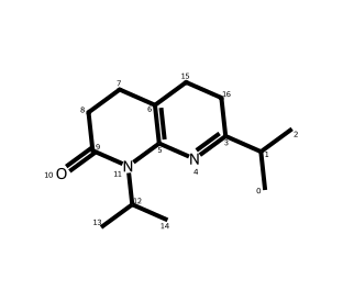 CC(C)C1=NC2=C(CCC(=O)N2C(C)C)CC1